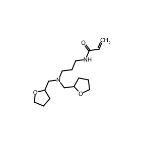 C=CC(=O)NCCCN(CC1CCCO1)CC1CCCO1